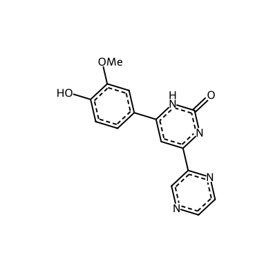 COc1cc(-c2cc(-c3cnccn3)nc(=O)[nH]2)ccc1O